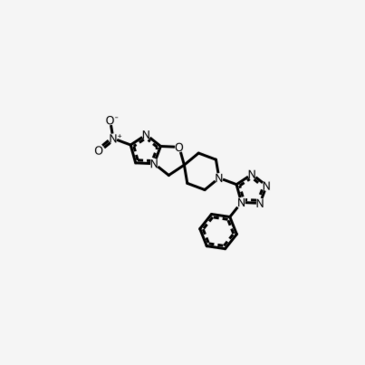 O=[N+]([O-])c1cn2c(n1)OC1(CCN(c3nnnn3-c3ccccc3)CC1)C2